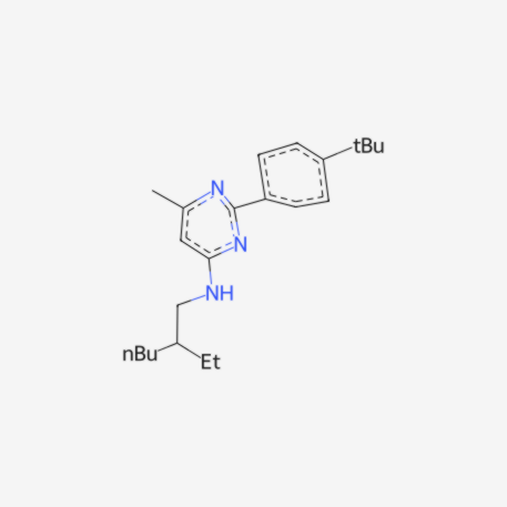 CCCCC(CC)CNc1cc(C)nc(-c2ccc(C(C)(C)C)cc2)n1